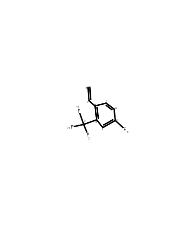 C=Cc1ccc(F)cc1C(F)(F)F